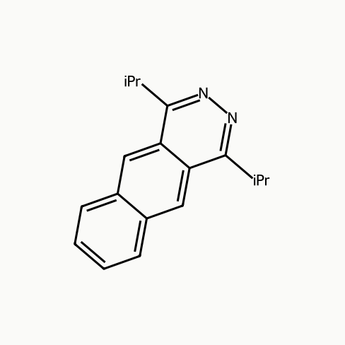 CC(C)c1nnc(C(C)C)c2cc3ccccc3cc12